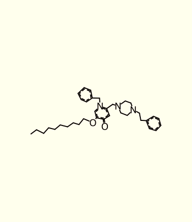 CCCCCCCCCCOc1cn(Cc2ccccc2)c(CN2CCN(CCc3ccccc3)CC2)cc1=O